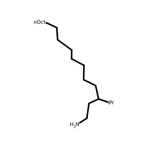 CCCCCCCCCCCCCCCC(CCN)C(C)C